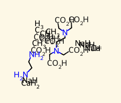 CC(=O)O.CC(=O)O.CC(=O)O.CC(=O)O.NCCN.O=C(O)CN(CCN(CC(=O)O)CC(=O)O)CC(=O)O.[CaH2].[Ca].[NaH].[NaH].[NaH].[NaH]